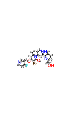 CC1=CN[C@@H](c2nc(C(C)(C)O)ccc2C)C[C@H]1n1c(C)cc(OCc2cnccc2F)c(Br)c1=O